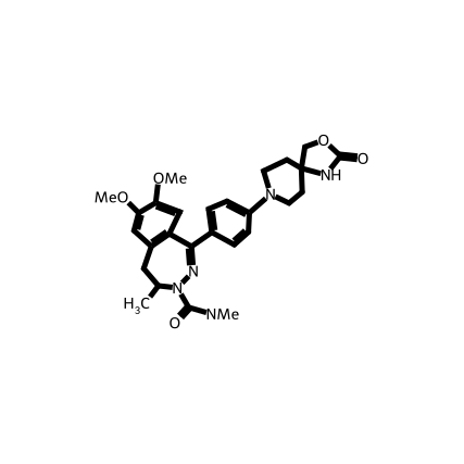 CNC(=O)N1N=C(c2ccc(N3CCC4(CC3)COC(=O)N4)cc2)c2cc(OC)c(OC)cc2CC1C